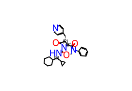 CN(C(=O)[C@@H]1[C@@H](Cc2ccncc2)C(=O)N1C(=O)N[C@@H](C1CCCCC1)C1CC1)c1ccccc1